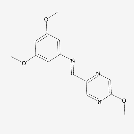 COc1cc(N=Cc2cnc(OC)cn2)cc(OC)c1